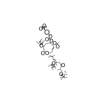 CC[C@H](O[Si](CC)(CC)CC)[C@@H](C)[C@H]1O[C@@H]1[C@@H](C)[C@@](C)(/C=C/C(C)=C(\C)[C@H]1C/C=C/[C@@H](OC(C)=O)[C@H](OC(=O)Oc2ccc([N+](=O)[O-])cc2)CC[C@@H](O[Si](CC)(CC)CC)CC(=O)O1)O[Si](CC)(CC)CC